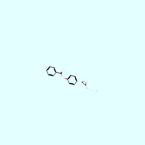 O=C(Oc1ccc([C@@H]2O[C@H]2C(=O)O)cc1)c1ccccc1